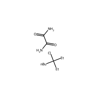 CCCCC(Cl)(CC)CC.NC(=O)C(N)=O